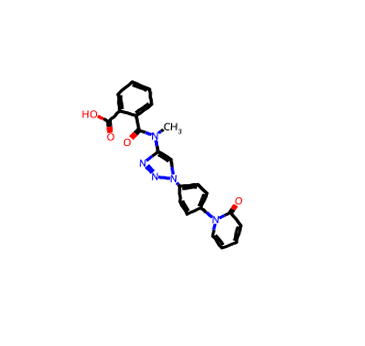 CN(C(=O)c1ccccc1C(=O)O)c1cn(-c2ccc(-n3ccccc3=O)cc2)nn1